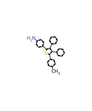 Cc1ccc(-c2sc(-c3ccc(N)cc3)c(-c3ccccc3)c2-c2ccccc2)cc1